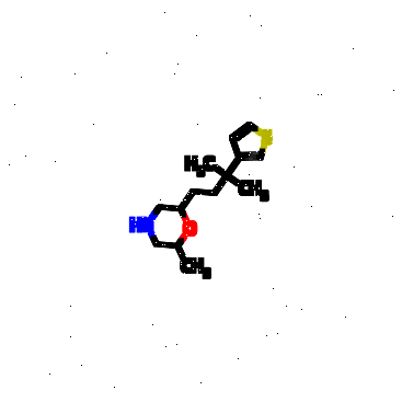 CC1CNCC(CCC(C)(C)c2ccsc2)O1